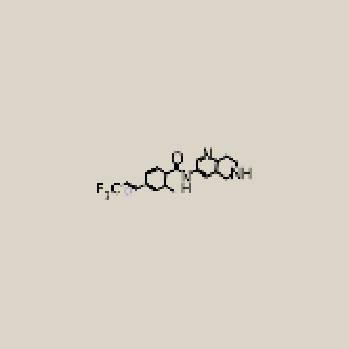 Cc1cc(/C=C/C(F)(F)F)ccc1C(=O)NC1=CC2CNCCC2N=C1